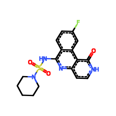 O=c1[nH]ccc2nc(NS(=O)(=O)N3CCCCC3)c3ccc(F)cc3c12